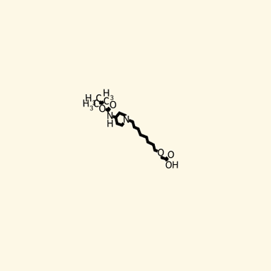 CC(C)(C)OC(=O)NC1CCN(CCCCCCCCOCC(=O)O)CC1